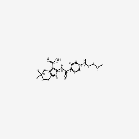 COCCNc1ccc(C(=O)Nc2sc3c(c2C(=O)O)CC(C)(C)CC3)cc1